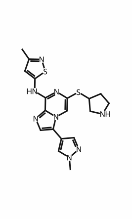 Cc1cc(Nc2nc(SC3CCNC3)cn3c(-c4cnn(C)c4)cnc23)sn1